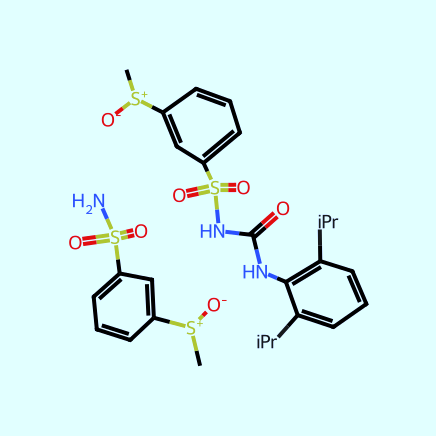 CC(C)c1cccc(C(C)C)c1NC(=O)NS(=O)(=O)c1cccc([S+](C)[O-])c1.C[S+]([O-])c1cccc(S(N)(=O)=O)c1